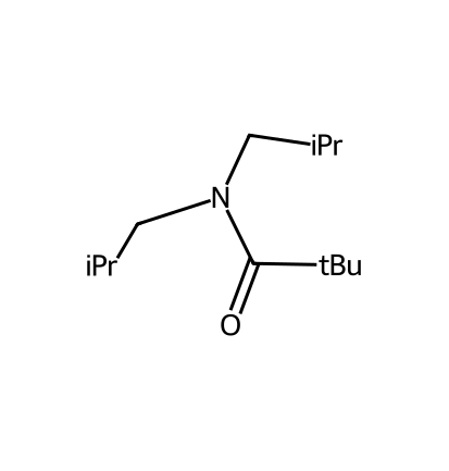 CC(C)CN(CC(C)C)C(=O)C(C)(C)C